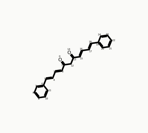 O=C(C=CC=Cc1ccccc1)CC(=O)C=CC=Cc1ccccc1